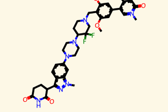 COc1cc(-c2cn(C)c(=O)c(C)c2C)cc(OC)c1CN1CCC(N2CCN(c3ccc4c(C5CCC(=O)NC5=O)nn(C)c4c3)CC2)C(F)(F)C1